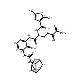 NC(=O)C(=O)CC[C@H](NC(=O)c1cc(Cl)sc1Cl)C(=O)Nc1cccn(CC(=O)NC2C3CC4CC(C3)C2C4)c1=O